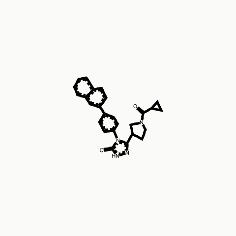 O=C(C1CC1)N1CCC(c2n[nH]c(=O)n2-c2ccc(-c3ccc4ccccc4c3)cc2)C1